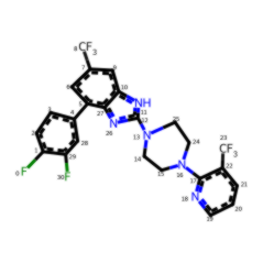 Fc1ccc(-c2cc(C(F)(F)F)cc3[nH]c(N4CCN(c5ncccc5C(F)(F)F)CC4)nc23)cc1F